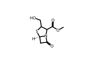 COC(=O)C1C(CO)S[C@@H]2CC(=O)N12